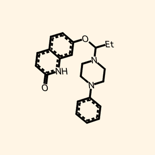 CCC(Oc1ccc2ccc(=O)[nH]c2c1)N1CCN(c2ccccc2)CC1